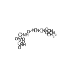 CC(C)(C)OC(=O)N1CCC(N2CCN(CCOCCNc3cccc4c3C(=O)N(C3CCC(=O)NC3=O)C4=O)CC2)CC1